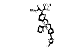 CC(C)(C)OC(=O)N(c1cccc(CN(Cc2ccc(-c3ncc(Cl)s3)cc2)S(=O)(=O)c2ccccn2)n1)C(C(=O)O)C(C)(C)C